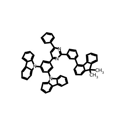 CC1(C)c2ccccc2-c2c(-c3cccc(-c4nc(-c5ccccc5)cc(-c5cc(-n6c7ccccc7c7ccccc76)cc(-n6c7ccccc7c7ccccc76)c5)n4)c3)cccc21